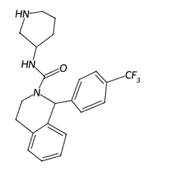 O=C(NC1CCCNC1)N1CCc2ccccc2C1c1ccc(C(F)(F)F)cc1